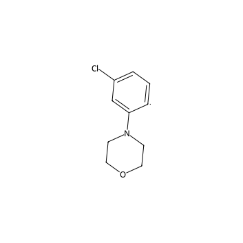 Clc1cc[c]c(N2CCOCC2)c1